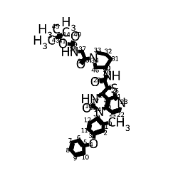 Cc1cc(Oc2ccccc2)ccc1N1C(=O)NC2c3c1ccnc3SC2C(=O)N[C@@H]1CCCN(C(=O)CNC(=O)OC(C)(C)C)C1